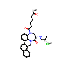 CN[C@@H](C)CN[C@H]1CN(C(=O)CCCCC(=O)OC)c2ccccc2N(Cc2c(C)ccc3ccccc23)C1=O.Cl